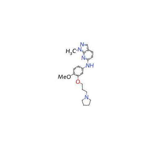 COc1ccc(Nc2ccc3cnn(C)c3n2)cc1OCCCN1CCCC1